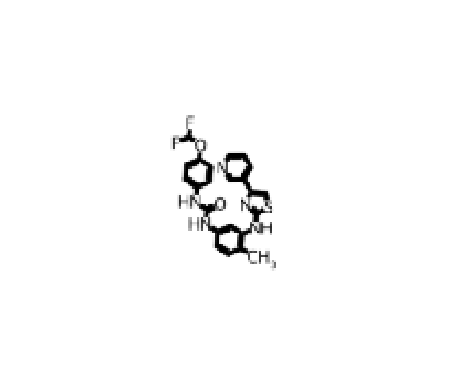 Cc1ccc(NC(=O)Nc2ccc(OC(F)F)cc2)cc1Nc1nc(-c2cccnc2)cs1